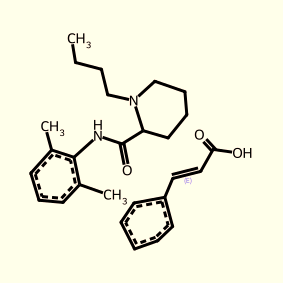 CCCCN1CCCCC1C(=O)Nc1c(C)cccc1C.O=C(O)/C=C/c1ccccc1